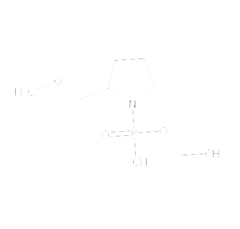 CCOP(C)(=O)N1CCCC1COC